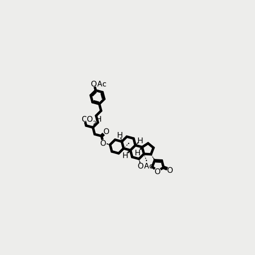 CC(=O)Oc1ccc(CCCC(CC(=O)O)CC(=O)O[C@H]2CC[C@@]3(C)[C@H](CC[C@@H]4[C@@H]3C[C@@H](OC(C)=O)[C@]3(C)[C@@H](C5=CC(=O)OC5)CC[C@@H]43)C2)cc1